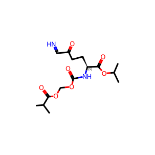 CC(C)OC(=O)[C@H](CCC(=O)C=N)NC(=O)OCOC(=O)C(C)C